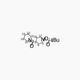 CC(C)(C)C(=O)ON1CCC(C(=O)N2CCCCC2)CC1